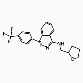 FC(F)(F)c1ccc(-c2nnc(NCC3CCCO3)c3ccccc23)cc1